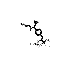 CCCNC(c1ccc(CC(O[SiH](C)C)C(C)(C)C)cc1)C1CC1